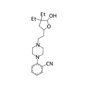 CCC1(CC)CC(CCN2CCN(c3ccccc3C#N)CC2)OC1O